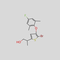 Cc1cc(F)cc(C)c1Oc1cc(C(C)CO)sc1Br